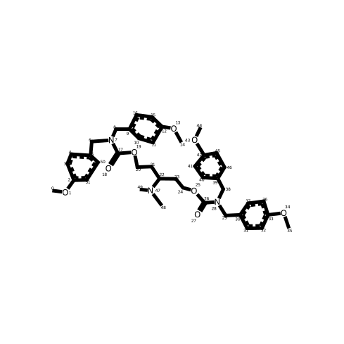 COc1ccc(CN(Cc2ccc(OC)cc2)C(=O)OCCC(CCOC(=O)N(Cc2ccc(OC)cc2)Cc2ccc(OC)cc2)N(C)C)cc1